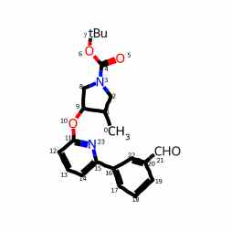 CC1CN(C(=O)OC(C)(C)C)CC1Oc1cccc(-c2cccc(C=O)c2)n1